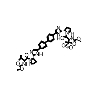 COC(=O)N[C@H](C(=O)N1CCC[C@H]1c1ncc(-c2ccc(-c3ccc(-c4cnc([C@@H]5CCCN5C(=O)[C@@H](NC(=O)OC)C(C)(C)S(C)(=O)=O)[nH]4)cc3)cc2)[nH]1)C(C)C